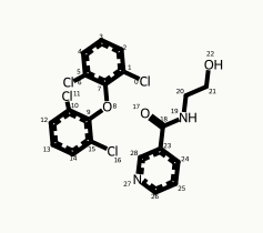 Clc1cccc(Cl)c1Oc1c(Cl)cccc1Cl.O=C(NCCO)c1cccnc1